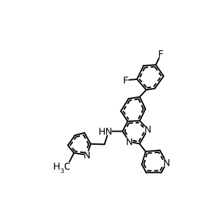 Cc1cccc(CNc2nc(-c3cccnc3)nc3cc(-c4ccc(F)cc4F)ccc23)n1